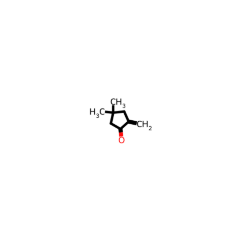 C=C1CC(C)(C)CC1=O